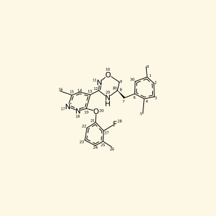 Cc1ccc(C)c(C[C@@H]2CON=C(c3cc(C)nnc3Oc3cccc(C)c3F)N2)c1